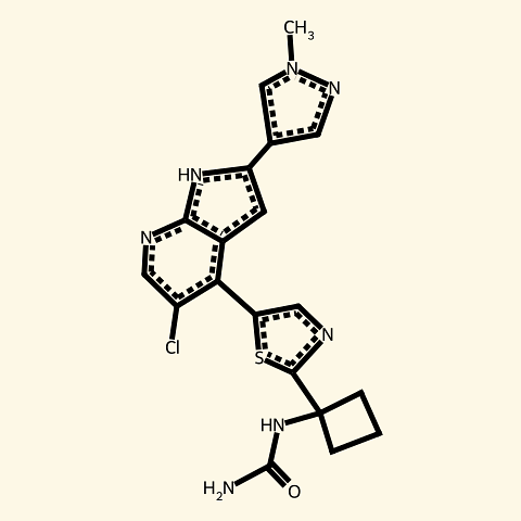 Cn1cc(-c2cc3c(-c4cnc(C5(NC(N)=O)CCC5)s4)c(Cl)cnc3[nH]2)cn1